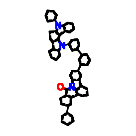 O=c1c2ccc(-c3ccccc3)cc2c2cccc3c4cc(-c5cccc(-c6cccc(-n7c8ccccc8c8ccc9c(c%10ccccc%10n9-c9ccccc9)c87)c6)c5)ccc4n1c23